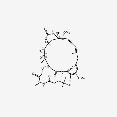 COc1cc2cc(c1Cl)N(C)C(=O)C[C@H](OCC(=O)[C@H](C)N(C)C(=O)CCC(C)(C)S)[C@]1(C)O[C@H]1[C@H](C)[C@@H]1C[C@@](O)(NC(=O)O1)[C@H](OC)/C=C/C=C(\C)C2